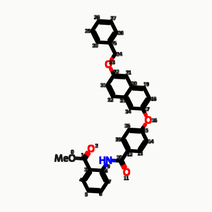 COC(=O)c1ccccc1NC(=O)c1ccc(Oc2ccc3cc(OCc4ccccc4)ccc3c2)cc1